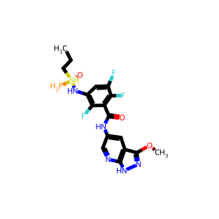 CCC[SH](=O)(P)Nc1cc(F)c(F)c(C(=O)Nc2cnc3[nH]nc(OC)c3c2)c1F